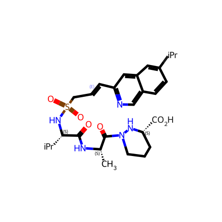 CC(C)c1ccc2cnc(/C=C/CS(=O)(=O)N[C@H](C(=O)N[C@@H](C)C(=O)N3CCC[C@@H](C(=O)O)N3)C(C)C)cc2c1